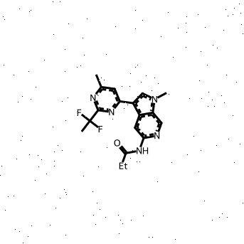 CCC(=O)Nc1cc2c(-c3cc(C)nc(C(C)(F)F)n3)cn(C)c2cn1